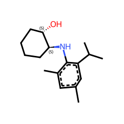 Cc1cc(C)c(N[C@H]2CCCC[C@@H]2O)c(C(C)C)c1